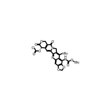 CCCCc1c2c(nc3cc4c(c(NC(=O)OC(C)(C)C)c13)OCO4)-c1cc3c(c(=O)n1C2)COC(=O)[C@H]3OC(=O)Cl